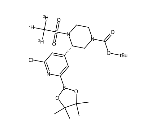 [2H]C([2H])([2H])S(=O)(=O)N1CCN(C(=O)OC(C)(C)C)C[C@@H]1c1cc(Cl)nc(B2OC(C)(C)C(C)(C)O2)c1